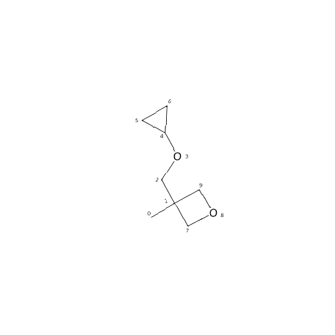 CC1(COC2CC2)COC1